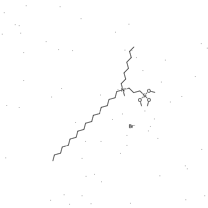 CCCCCCCCCCCCCCCCCC[N+](C)(CCCCCCCC)CCC[Si](OC)(OC)OC.[Br-]